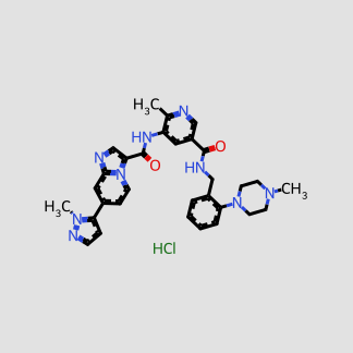 Cc1ncc(C(=O)NCc2ccccc2N2CCN(C)CC2)cc1NC(=O)c1cnc2cc(-c3ccnn3C)ccn12.Cl